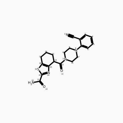 N#Cc1ccccc1N1CCN(C(=O)C2CCCc3sc(C(N)=O)nc32)CC1